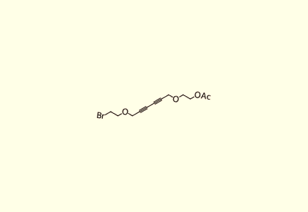 CC(=O)OCCOCC#CC#CCOCCBr